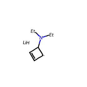 CCN(CC)C1[CH]C=C1.[LiH]